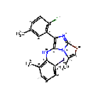 Cc1ccc(F)c(-c2nc3scc(C)n3c2Nc2c(C)cccc2I)c1